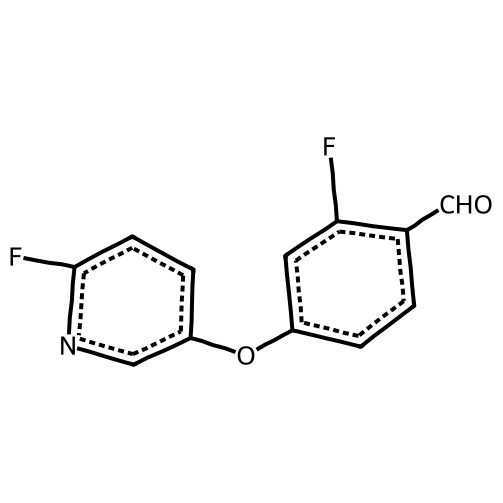 O=Cc1ccc(Oc2ccc(F)nc2)cc1F